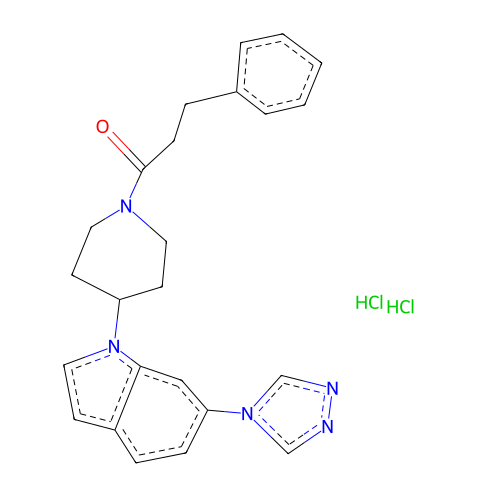 Cl.Cl.O=C(CCc1ccccc1)N1CCC(n2ccc3ccc(-n4cnnc4)cc32)CC1